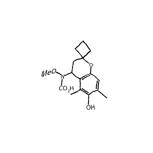 CON(C(=O)O)C1CC2(CCC2)Oc2cc(C)c(O)c(C)c21